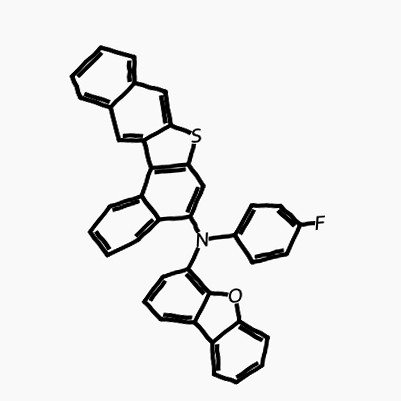 Fc1ccc(N(c2cc3sc4cc5ccccc5cc4c3c3ccccc23)c2cccc3c2oc2ccccc23)cc1